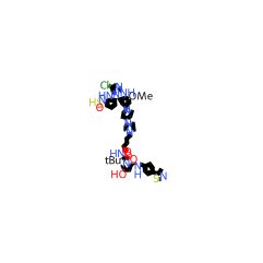 COc1cc(N2CCC(N3CCN(CCCCC(=O)N[C@H](C(=O)N4C[C@H](O)C[C@@H]4C(=O)NCc4ccc(-c5scnc5C)cc4)C(C)(C)C)CC3)CC2)ccc1Nc1ncc(Cl)c(Nc2ccccc2N(C)[SH]=O)n1